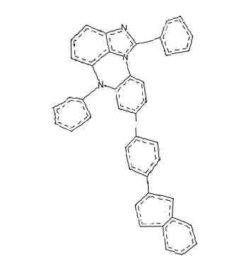 c1ccc(-c2nc3cccc4c3n2-c2ccc(-c3ccc(-c5ccc6ccccc6c5)cc3)cc2N4c2ccccc2)cc1